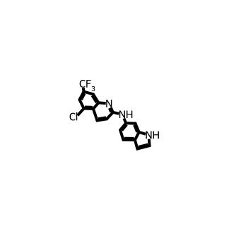 FC(F)(F)c1cc(Cl)c2ccc(Nc3ccc4cc[nH]c4c3)nc2c1